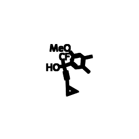 COc1cc(C)c(C)cc1C(O)(C#CC1CC1)C(F)(F)F